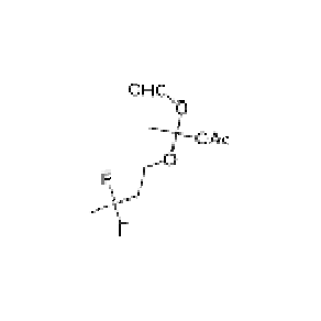 CC(=O)OC(C)(OC=O)OCCC(C)(F)F